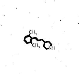 Cc1cccc(C)c1/C=C/CC1CCNCC1